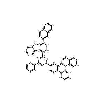 c1ccc(C2=NC(c3ccc(-c4ccccc4)c(-c4ccc5ccccc5c4)c3)NC(c3ccc(-c4ccc5ccccc5c4)c4oc5ccccc5c34)=N2)cc1